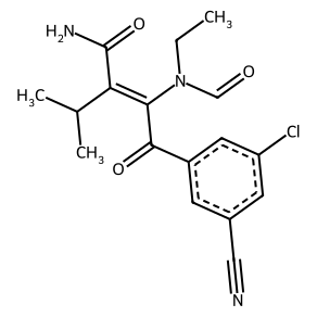 CCN(C=O)/C(C(=O)c1cc(Cl)cc(C#N)c1)=C(\C(N)=O)C(C)C